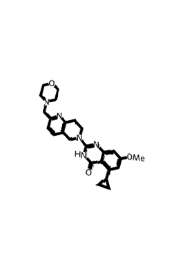 COc1cc(C2CC2)c2c(=O)[nH]c(N3CCc4nc(CN5CCOCC5)ccc4C3)nc2c1